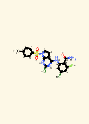 Cc1ccc(S(=O)(=O)n2ccc3c(Nc4cc(Cl)cc(F)c4C(N)=O)nc(Cl)nc32)cc1